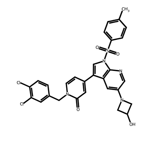 Cc1ccc(S(=O)(=O)n2cc(-c3ccn(Cc4ccc(Cl)c(Cl)c4)c(=O)c3)c3cc(N4CC(O)C4)cnc32)cc1